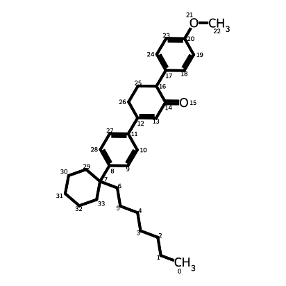 CCCCCCCC1(c2ccc(C3=CC(=O)C(c4ccc(OC)cc4)CC3)cc2)CCCCC1